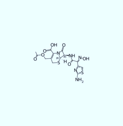 CC(=O)OCC1=C(C(=O)O)N2C(=O)[C@@H](NC(=O)C(=NO)c3csc(N)n3)[C@H]2SC1